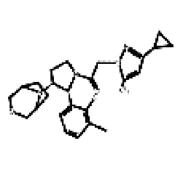 Cc1cccc([C@H]2[C@@H](N3C4CCC3COC4)CCN2C(=O)Cn2nc(C3CC3)cc2C(F)(F)F)c1Cl